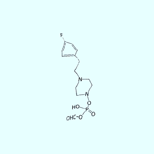 O=COP(=O)(O)ON1CCN(CCc2ccc(F)cc2)CC1